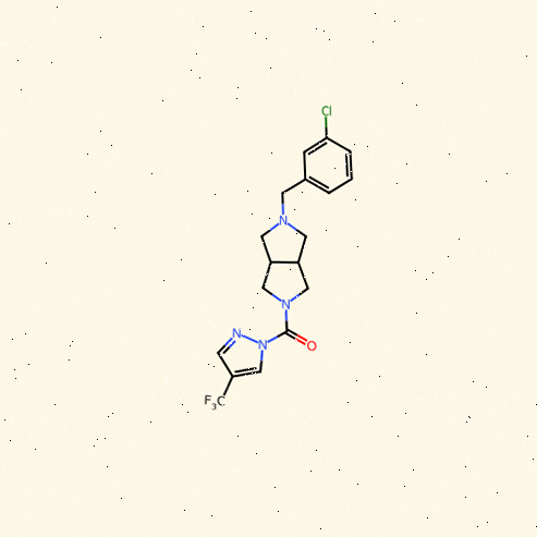 O=C(N1CC2CN(Cc3cccc(Cl)c3)CC2C1)n1cc(C(F)(F)F)cn1